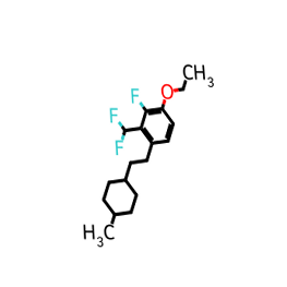 CCOc1ccc(CCC2CCC(C)CC2)c(C(F)F)c1F